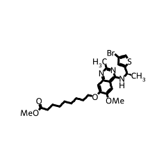 COC(=O)CCCCCCCCOc1cc2nc(C)nc(N[C@H](C)c3cc(Br)cs3)c2cc1OC